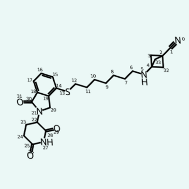 N#CC12CC(NCCCCCCCSc3cccc4c3CN(C3CCC(=O)NC3=O)C4=O)(C1)C2